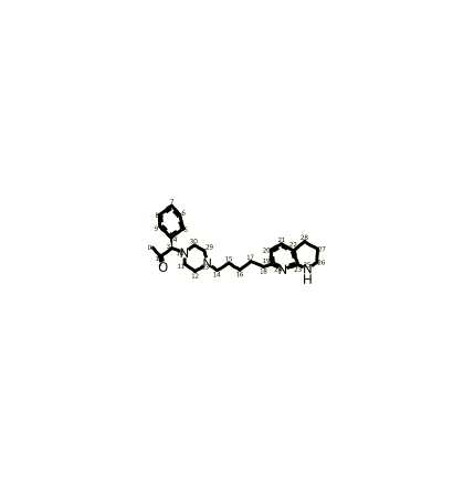 CC(=O)[C@@H](c1ccccc1)N1CCN(CCCCCc2ccc3c(n2)NCCC3)CC1